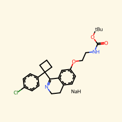 CC(C)(C)OC(=O)NCCOc1ccc2c(c1)C(C1(c3ccc(Cl)cc3)CCC1)=NCC2.[NaH]